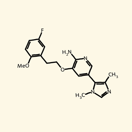 COc1ccc(F)cc1CCOc1cc(-c2c(C)ncn2C)cnc1N